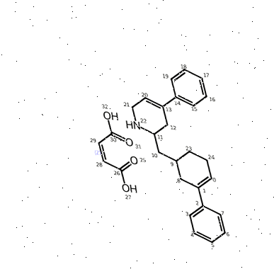 C1=C(c2ccccc2)CC(CC2CC(c3ccccc3)=CCN2)CC1.O=C(O)/C=C\C(=O)O